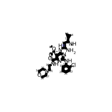 CO[N+](=O)c1c(N/C(N)=C/C(=N)C2CC2)nc(Nc2ccccc2Cl)nc1C(=O)NCCN1CCOCC1